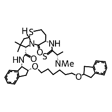 CN[C@@H](C)C(=S)N[C@H]1CCS[C@H]2CC(C)(C)[C@@H](C(=O)N[C@H]3c4ccccc4C[C@H]3OCCCCCCOC3Cc4ccccc4C3)N2C1=O